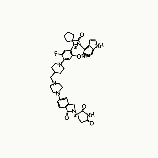 COc1cc(N2CCC(CN3CCN(c4ccc5c(c4)CN([C@H]4CCC(=O)NC4=O)C5=O)CC3)CC2)c(F)cc1[C@@H]1N(c2cccc3[nH]ccc23)C(=O)C12CCCC2